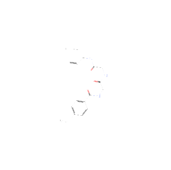 C=C[C@H](CC=O)NC(=O)[C@H](C)NC(=O)[C@H](C)NC(=O)c1ccc(OC)cc1